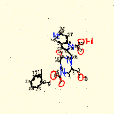 COC[C@H]1CN(C(=O)OCc2ccccc2)CC(=O)N1Cc1cc2cnccc2n1C(=O)O